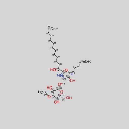 CCCCCCCCCCCCC/C=C/[C@@H](O)[C@H](CO[C@@H]1O[C@H](CO)[C@H](O)C(OS(=O)(=O)O)C1O)NC(=O)C(O)CCCCCCCCCCCCCCCCCCCC